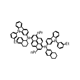 CCCc1cc(N(c2ccc3c(c2)CCCC3)c2ccc3c4ccccc4n(-c4cccc(CC)c4)c3c2)c2ccc3c(CCC)cc(N(c4ccc5c6ccccc6n(-c6cccc(CC)c6)c5c4)C4CCCc5ccccc54)c4ccc1c2c34